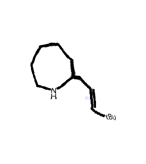 CC(C)(C)/C=C/C1CCCCCN1